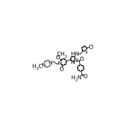 COc1cc(-c2cc(NCc3ccc(Cl)s3)n(C(=O)c3ccc(C(N)=O)cc3)n2)cc(=O)n1CCN1CCN(C)CC1